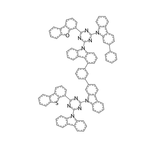 c1ccc(-c2ccc3c4ccccc4n(-c4nc(-c5cccc6c5oc5ccccc56)nc(-n5c6ccccc6c6c(-c7cccc(-c8ccc9c%10ccccc%10n(-c%10nc(-c%11cccc%12c%11sc%11ccccc%11%12)nc(-n%11c%12ccccc%12c%12ccccc%12%11)n%10)c9c8)c7)cccc65)n4)c3c2)cc1